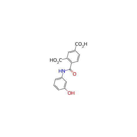 O=C(O)c1ccc(C(=O)Nc2cccc(O)c2)c(C(=O)O)c1